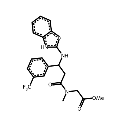 COC(=O)CN(C)C(=O)CC(Nc1nc2ccccc2[nH]1)c1cccc(C(F)(F)F)c1